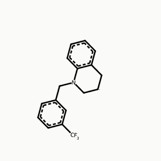 FC(F)(F)c1cccc(CN2C[CH]Cc3ccccc32)c1